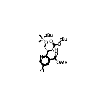 COC(=O)c1cc(Cl)cnc1[C@H](CO[Si](C)(C)C(C)(C)C)NC(=O)OC(C)(C)C